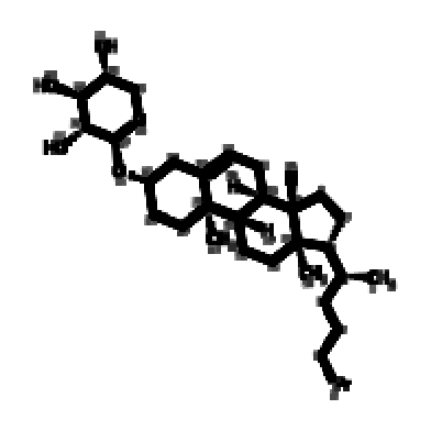 CC(C)CCC[C@@H](C)[C@H]1CC[C@H]2[C@@H]3CC=C4C[C@@H](O[C@@H]5OC[C@@H](O)[C@H](O)[C@H]5O)CC[C@]4(C)[C@H]3CC[C@]12C